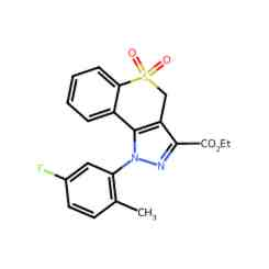 CCOC(=O)c1nn(-c2cc(F)ccc2C)c2c1CS(=O)(=O)c1ccccc1-2